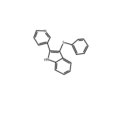 c1ccc(Sc2c(-c3cccnc3)[nH]c3ccccc23)cc1